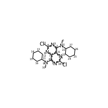 CN(c1nc(Cl)nc2c(N(C)C3CCCCC3)nc(Cl)nc12)C1CCCCC1